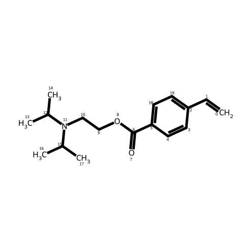 C=Cc1ccc(C(=O)OCCN(C(C)C)C(C)C)cc1